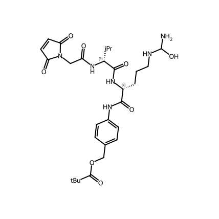 CC(C)[C@@H](NC(=O)CN1C(=O)C=CC1=O)C(=O)N[C@H](CCCNC(N)O)C(=O)Nc1ccc(COC(=O)C(C)(C)C)cc1